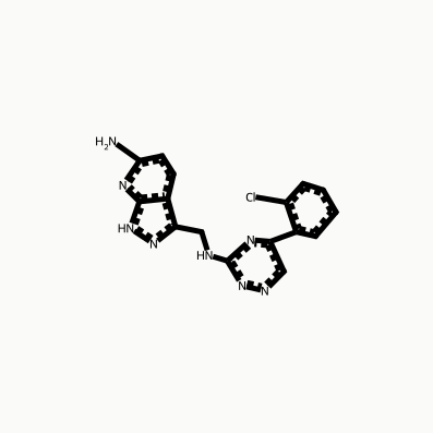 Nc1ccc2c(CNc3nncc(-c4ccccc4Cl)n3)n[nH]c2n1